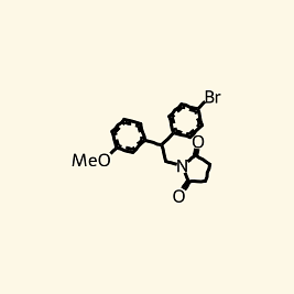 COc1cccc(C(CN2C(=O)CCC2=O)c2ccc(Br)cc2)c1